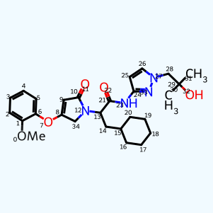 COc1ccccc1OC1=CC(=O)N(C(CC2CCCCC2)C(=O)Nc2ccn(CC(C)(C)O)n2)C1